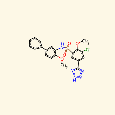 COc1ccc(-c2ccccc2)cc1NS(=O)(=O)c1cc(-c2nn[nH]n2)cc(Cl)c1OC